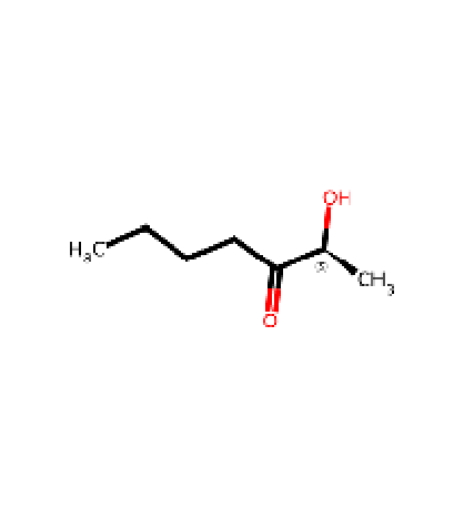 CCCCC(=O)[C@H](C)O